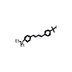 CCN(CC)c1ccc(/C=C/C=C/c2ccc(C(C)(C)I)cc2)cc1